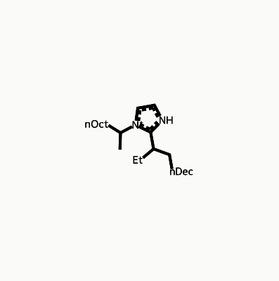 CCCCCCCCCCCC(CC)c1[nH]cc[n+]1C(C)CCCCCCCC